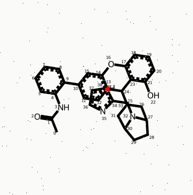 CC(=O)Nc1ccccc1-c1ccc2c(c1)Oc1cccc(O)c1C2C1CC2CCC(C1)N2Cc1ncc[nH]1